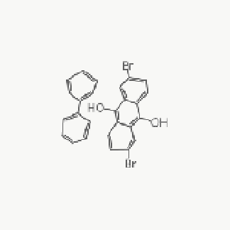 Oc1c2ccc(Br)cc2c(O)c2ccc(Br)cc12.c1ccc(-c2ccccc2)cc1